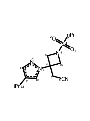 CCCS(=O)(=O)N1CC(CC#N)(n2cc(C(C)C)cn2)C1